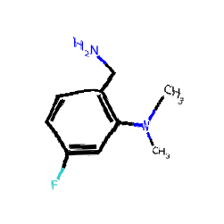 CN(C)c1cc(F)ccc1CN